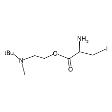 CN(CCOC(=O)C(N)CI)C(C)(C)C